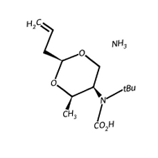 C=CC[C@H]1OC[C@@H](N(C(=O)O)C(C)(C)C)[C@@H](C)O1.N